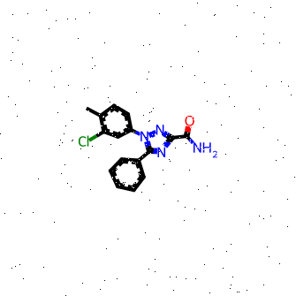 Cc1ccc(-n2nc(C(N)=O)nc2-c2ccccc2)cc1Cl